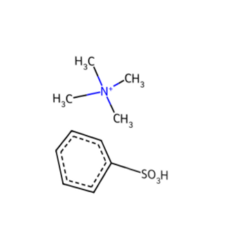 C[N+](C)(C)C.O=S(=O)(O)c1ccccc1